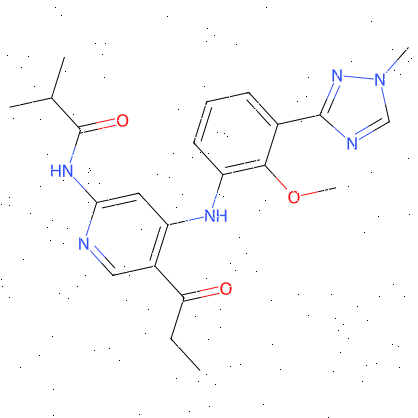 CCC(=O)c1cnc(NC(=O)C(C)C)cc1Nc1cccc(-c2ncn(C)n2)c1OC